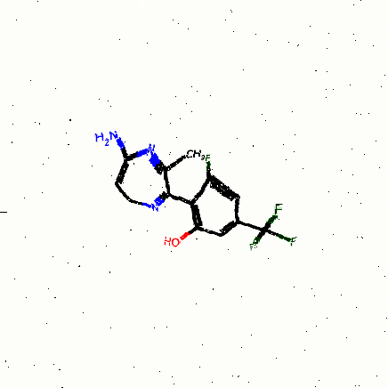 CC1=NC(N)=CCN=C1c1c(O)cc(C(F)(F)F)cc1F